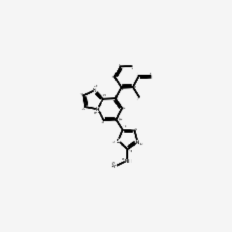 C=C/C(C)=C(\C=C/C)c1cc(-c2cnc(NC(C)C)s2)cn2ccnc12